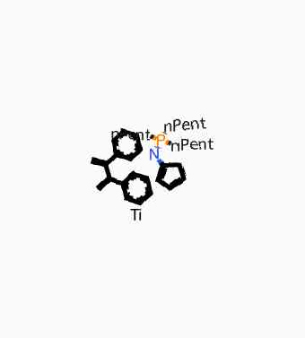 C=C(C(=C)c1ccccc1)c1ccccc1.CCCCCP(CCCCC)(CCCCC)=NC1=CC=CC1.[Ti]